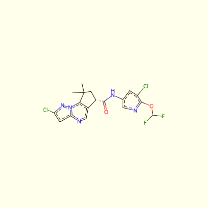 CC1(C)C[C@H](C(=O)Nc2cnc(OC(F)F)c(Cl)c2)c2cnc3cc(Cl)nn3c21